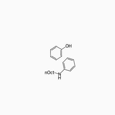 CCCCCCCCNc1ccccc1.Oc1ccccc1